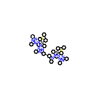 C1=CC2N=C3N(c4cc(-n5c6ccccc6n6c7ccc(-c8ccc9c(c8)c8ccccc8n9-c8cc(-n9c%10ccccc%10n%10c%11ccccc%11nc9%10)nc([Si](c9ccccc9)(c9ccccc9)c9cccc%10c9sc9ccccc9%10)n8)cc7nc56)nc([Si](c5ccccc5)(c5ccccc5)c5cccc6c5sc5ccccc56)n4)c4ccccc4N3C2C=C1